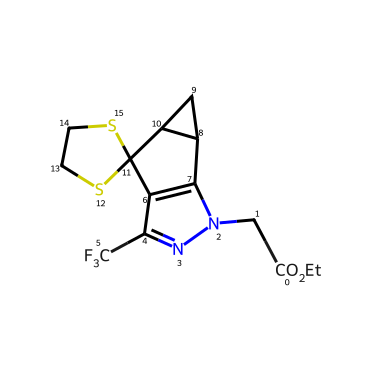 CCOC(=O)Cn1nc(C(F)(F)F)c2c1C1CC1C21SCCS1